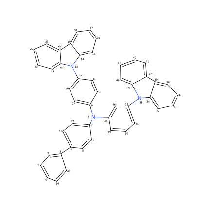 c1ccc(-c2ccc(N(c3ccc(-n4c5ccccc5c5ccccc54)cc3)c3cccc(-n4c5ccccc5c5ccccc54)c3)cc2)cc1